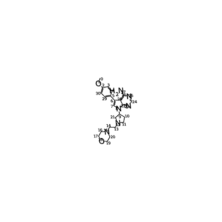 COc1ccc(-c2cn(C3CCN(CCN4CCOCC4)C3)c3ncnc(N)c23)cc1